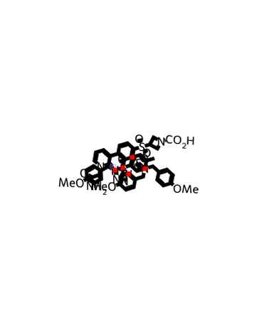 COc1ccc(CN(Cc2ccc(OC)cc2)S(=O)(=O)c2c(S(=O)(=O)C3CN(C(=O)O)C3)ccc(-c3cccn(CC(N)=O)/c3=N/S(=O)(=O)c3ccc(C)cc3)c2-c2nnnn2Cc2ccc(OC)cc2)cc1